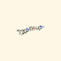 COc1cc2nn(C3CCC(COCCC4CCNCC4)CC3)cc2cc1[N+](=O)[O-]